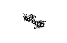 CCC1CN(Cc2cc(C(c3ccc4c(nnn4C)c3C)C(C)(C)C(=O)OC)ccc2C)S(O)(O)c2ccccc2O1